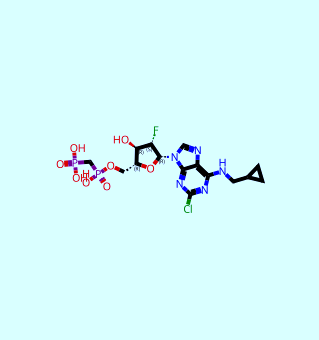 O=P(O)(O)CP(=O)(O)OC[C@H]1O[C@@H](n2cnc3c(NCC4CC4)nc(Cl)nc32)[C@@H](F)[C@@H]1O